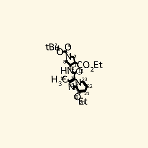 CCOC(=O)C1CN(C(=O)OC(C)(C)C)CC1NC(=O)c1c(C)nc2c(OCC)cccn12